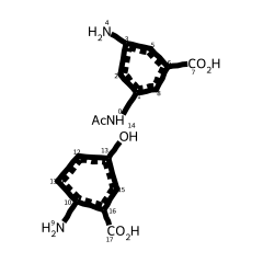 CC(=O)Nc1cc(N)cc(C(=O)O)c1.Nc1ccc(O)cc1C(=O)O